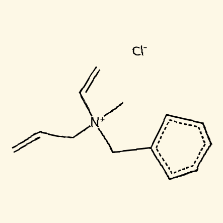 C=CC[N+](C)(C=C)Cc1ccccc1.[Cl-]